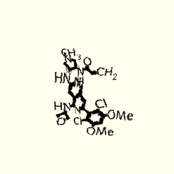 C=CC(=O)N[C@H]1CN(C)C[C@H]1Nc1cc2c(NC3COC3)nc(-c3c(Cl)c(OC)cc(OC)c3Cl)cc2cn1